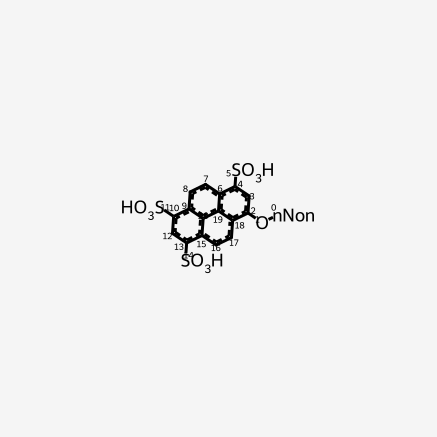 CCCCCCCCCOc1cc(S(=O)(=O)O)c2ccc3c(S(=O)(=O)O)cc(S(=O)(=O)O)c4ccc1c2c43